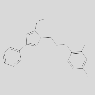 CCOc1cc(-c2ccccc2)nn1CCOc1ccc(C#N)cc1Cl